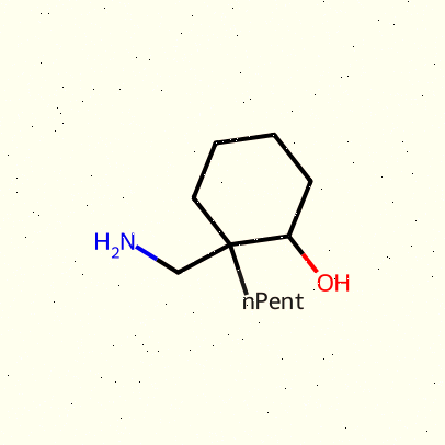 CCCCCC1(CN)CCCCC1O